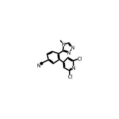 Cn1cnnc1-c1ccc(C#N)cc1-c1cc(Cl)nc(Cl)c1